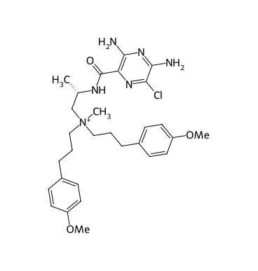 COc1ccc(CCC[N+](C)(CCCc2ccc(OC)cc2)C[C@H](C)NC(=O)c2nc(Cl)c(N)nc2N)cc1